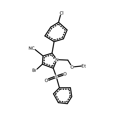 CCOCn1c(-c2ccc(Cl)cc2)c(C#N)c(Br)c1S(=O)(=O)c1ccccc1